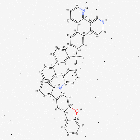 CC1(C)c2cc(-c3ccccc3-c3ccccc3-n3c4ccccc4c4cc5c(cc43)oc3ccccc35)ccc2-c2cc3c(cc21)c1ccncc1c1ncccc31